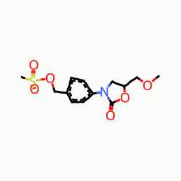 COCC1CN(c2ccc(COS(C)(=O)=O)cc2)C(=O)O1